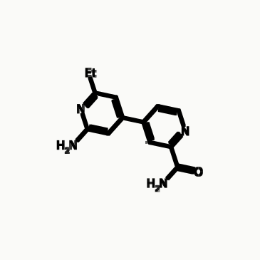 CCc1cc(-c2[c]c(C(N)=O)ncc2)cc(N)n1